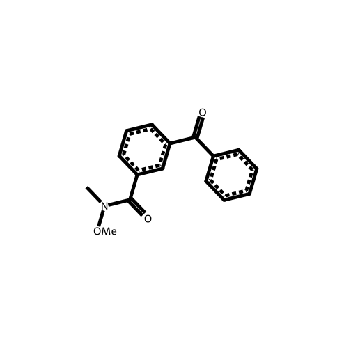 CON(C)C(=O)c1cccc(C(=O)c2ccccc2)c1